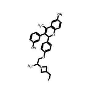 CC1=C(c2cccc(O)c2)C(c2ccc(OCC(C)N3CC(CF)C3)cc2)Oc2ccc(O)cc21